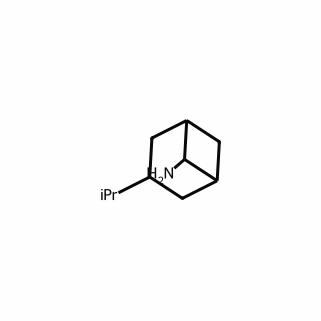 CC(C)C1CC2CC(C1)C2N